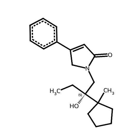 CC[C@@](O)(CN1CC(c2ccccc2)=CC1=O)C1(C)CCCC1